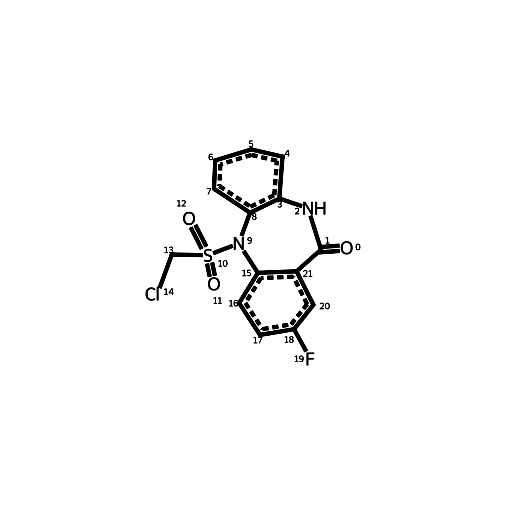 O=C1Nc2ccccc2N(S(=O)(=O)CCl)c2ccc(F)cc21